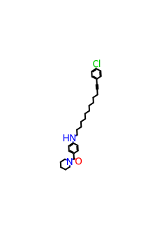 O=C(c1ccc(NCCCCCCCCCCCC#Cc2ccc(Cl)cc2)cc1)N1CCCCC1